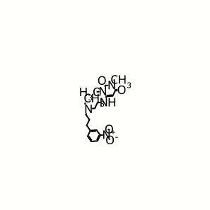 CCN(CCCc1cccc([N+](=O)[O-])c1)CCNc1cc(=O)n(C)c(=O)n1C